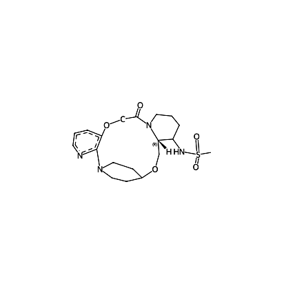 CS(=O)(=O)NC1CCCN2C(=O)COc3cccnc3N3CCC(CC3)OC[C@@H]12